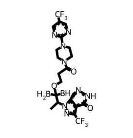 BC(B)(OCCC(=O)N1CCN(c2ncc(C(F)(F)F)cn2)CC1)C(C)n1nc(C(F)(F)F)c2c(=O)[nH]ncc21